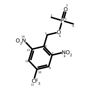 CP(C)(=O)OCc1c([N+](=O)[O-])cc(C(F)(F)F)cc1[N+](=O)[O-]